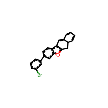 Brc1cccc(-c2ccc3c4c(oc3c2)CC2C=CC=CC2=C4)c1